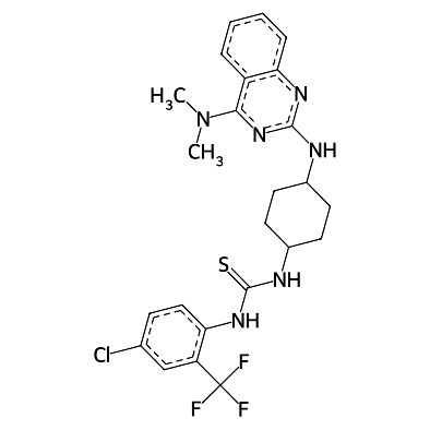 CN(C)c1nc(NC2CCC(NC(=S)Nc3ccc(Cl)cc3C(F)(F)F)CC2)nc2ccccc12